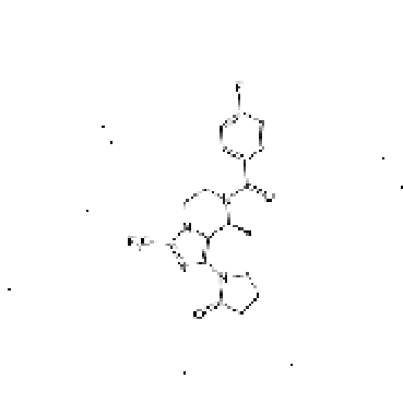 C[C@H]1c2c(N3CCCC3=O)nc(C(F)(F)F)n2CCN1C(=O)c1ccc(F)cc1